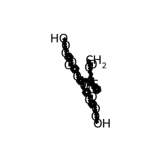 C=CC(=O)OCCCCCN(/N=C/c1cc(OCC2CCC(C(=O)Oc3ccc(OCCOCCO)cc3)CC2)ccc1OCC1CCC(C(=O)Oc2ccc(OCCOCCO)cc2)CC1)c1nc2ccccc2s1